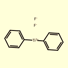 [F-].[F-].c1cc[c]([Ti+2][c]2ccccc2)cc1